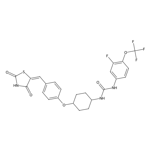 O=C(Nc1ccc(OC(F)(F)F)c(F)c1)NC1CCC(Oc2ccc(/C=C3/SC(=O)NC3=O)cc2)CC1